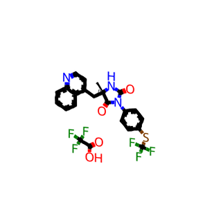 C[C@@]1(Cc2ccnc3ccccc23)NC(=O)N(c2ccc(SC(F)(F)F)cc2)C1=O.O=C(O)C(F)(F)F